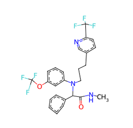 CNC(=O)C(c1ccccc1)N(CCCc1ccc(C(F)(F)F)nc1)c1cccc(OC(F)(F)F)c1